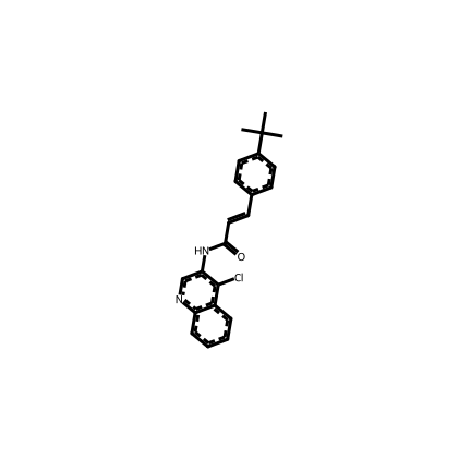 CC(C)(C)c1ccc(C=CC(=O)Nc2cnc3ccccc3c2Cl)cc1